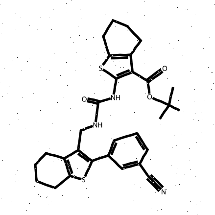 CC(C)(C)OC(=O)c1c(NC(=O)NCc2c(-c3cccc(C#N)c3)sc3c2CCCC3)sc2c1CCCC2